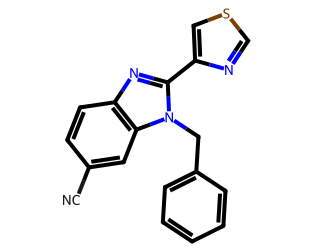 N#Cc1ccc2nc(-c3cscn3)n(Cc3ccccc3)c2c1